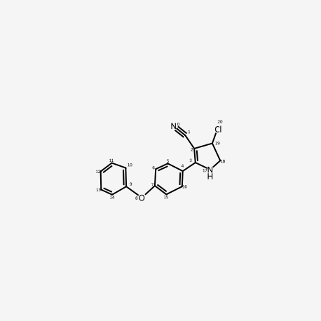 N#CC1=C(c2ccc(Oc3ccccc3)cc2)NCC1Cl